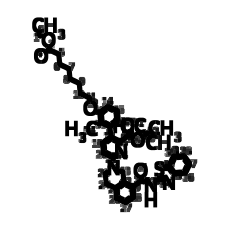 CCOC(=O)CCCCCCCOc1cccc(-c2ccc(N3CCc4cccc(C(=O)Nc5nc6ccccc6s5)c4C3)nc2C(=O)OC(C)(C)C)c1C